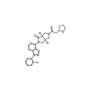 O=C(CC1CCCO1)N1C[C@@H]2CN(c3cccc4c3cnn4-c3ccccc3F)C(=O)[C@@H]2C1